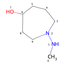 CNN1CCCC(O)CC1